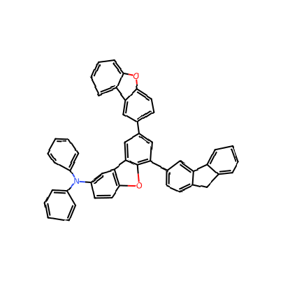 c1ccc(N(c2ccccc2)c2ccc3oc4c(-c5ccc6c(c5)-c5ccccc5C6)cc(-c5ccc6oc7ccccc7c6c5)cc4c3c2)cc1